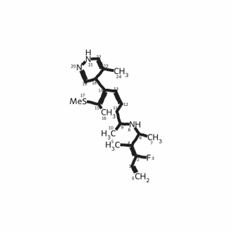 C=C/C(F)=C(\C)C(C)NC(C)C/C=C\C(=C(/C)SC)C1C=NNC=C1C